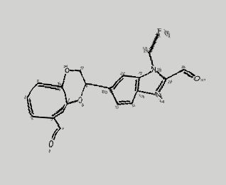 O=Cc1cccc2c1OC(c1ccc3nc(C=O)n(CF)c3c1)CO2